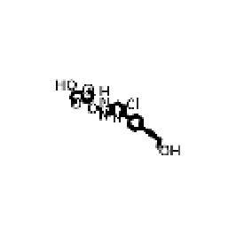 OCCC#Cc1ccc(-c2nc3nc(OC4COC5C(O)COC45)[nH]c3cc2Cl)cc1